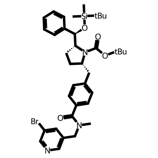 CN(Cc1cncc(Br)c1)C(=O)c1ccc(C[C@@H]2CC[C@H]([C@H](O[Si](C)(C)C(C)(C)C)c3ccccc3)N2C(=O)OC(C)(C)C)cc1